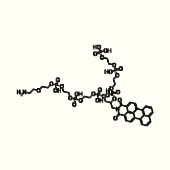 NCCOCCOP(=O)(O)OCCOP(=O)(O)OCCOP(=O)(O)OCC(CN1C(=O)c2ccc3c4cccc5cccc(c6ccc(c2c36)C1=O)c54)OP(=O)(O)OCCOP(=O)(O)OCCOP(=O)(O)O